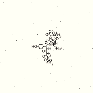 CC1(C)[C@H](C(=O)[O-])N2C(=O)[C@@](NC=O)(NC(=O)C(NC(=O)N3CCN(S(C)(=O)=O)C3=O)c3ccc(O)cc3)[C@H]2[S+]1[O-].[Na+]